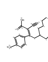 CCCCC(CC)CC(=C(C#N)C(=O)O)c1ccc(N)cc1